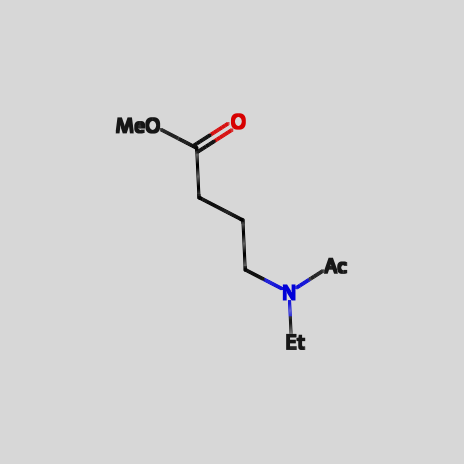 CCN(CCCC(=O)OC)C(C)=O